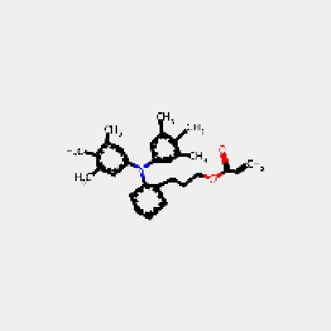 C=CC(=O)OCCCc1ccccc1N(c1cc(C)c(C)c(C)c1)c1cc(C)c(C)c(C)c1